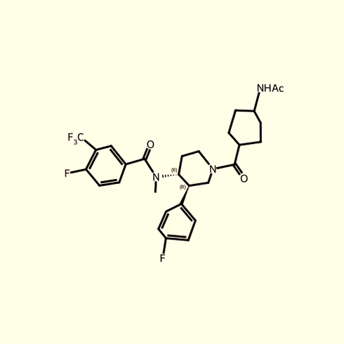 CC(=O)NC1CCC(C(=O)N2CC[C@@H](N(C)C(=O)c3ccc(F)c(C(F)(F)F)c3)[C@H](c3ccc(F)cc3)C2)CC1